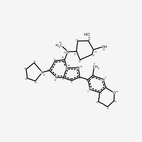 Cc1nc2c(nc1-c1cc3nc(N4CCCC4)cc(N(C)C4CCC(O)CC4)n3n1)CCCO2.Cl